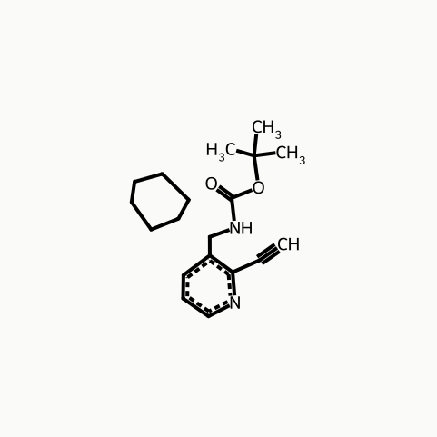 C#Cc1ncccc1CNC(=O)OC(C)(C)C.C1CCCCC1